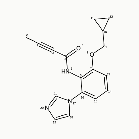 CC#CC(=O)Nc1c(OCC2CC2)cccc1-n1ccnc1